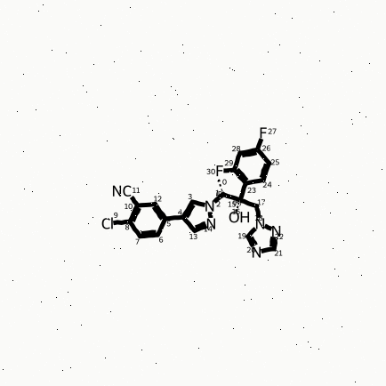 C[C@@H](n1cc(-c2ccc(Cl)c(C#N)c2)cn1)[C@](O)(Cn1cncn1)c1ccc(F)cc1F